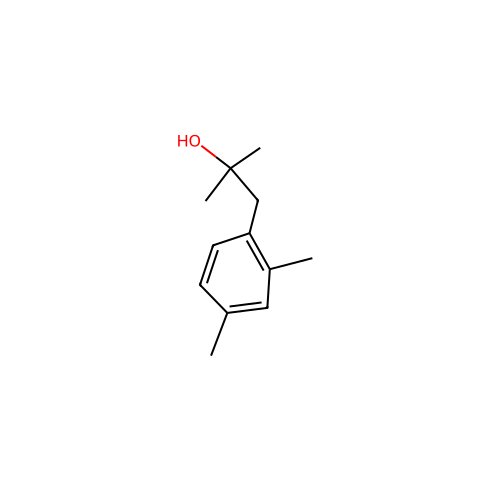 Cc1ccc(CC(C)(C)O)c(C)c1